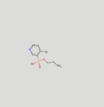 CCCOP(=O)(O)c1cnccc1Br